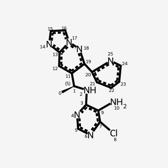 C[C@H](Nc1ncnc(Cl)c1N)c1cc2nccn2nc1-c1ccccn1